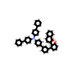 c1ccc(-c2ccc(N(c3ccc(-c4ccccc4)cc3)c3ccc(-c4cccc(-c5cccc6oc7c8ccccc8ccc7c56)c4)cc3)cc2)cc1